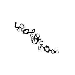 C=CC(=O)Oc1ccc(C(=O)O[C@@H]2CO[C@H]3[C@@H]2OC[C@H]3OC(=O)c2ccc(O)cc2)cc1